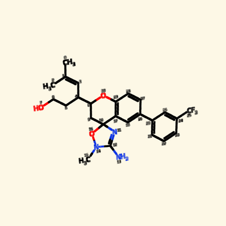 CC(C)=CC(CCO)C1CC2(N=C(N)N(C)O2)c2cc(-c3cccc(C(F)(F)F)c3)ccc2O1